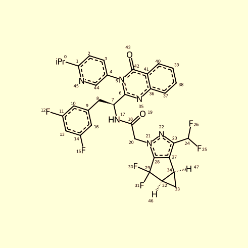 CC(C)c1ccc(-n2c([C@H](Cc3cc(F)cc(F)c3)NC(=O)Cn3nc(C(F)F)c4c3C(F)(F)[C@@H]3C[C@H]43)nc3ccccc3c2=O)cn1